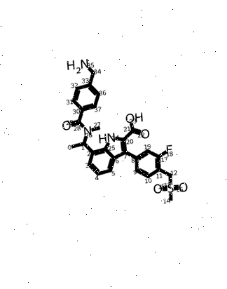 CC(c1cccc2c(-c3ccc(CS(C)(=O)=O)c(F)c3)c(C(=O)O)[nH]c12)N(C)C(=O)c1ccc(CN)cc1